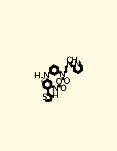 CN(CCN(C(=O)OC(=O)Nc1cc(N)ccc1-c1cccs1)c1ccccc1)c1ccccn1